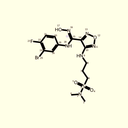 CN(C)S(=O)(=O)CCCNc1nonc1/C(=N/O)Nc1ccc(F)c(Br)c1